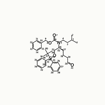 CC(C)CCN(C(=O)OCc1ccccc1)[C@@H](CCCC=O)CO[Si](c1ccccc1)(c1ccccc1)C(C)(C)C